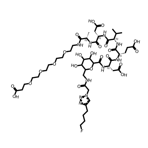 CC(C)[C@H](NC(=O)[C@H](CCC(=O)O)NC(=O)[C@H](CC(=O)O)NC(=O)C1OC(CNC(=O)Cn2cc(CCCCF)nn2)C(O)C(O)C1O)C(=O)N[C@@H](CC(=O)O)C(=O)N[C@@H](C)C(=O)NCCOCCOCCOCCOCCC(=O)O